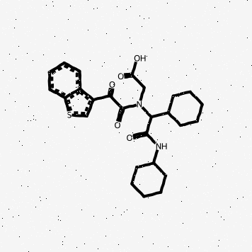 O=C(O)CN(C(=O)C(=O)c1csc2ccccc12)C(C(=O)NC1CCCCC1)C1CCCCC1